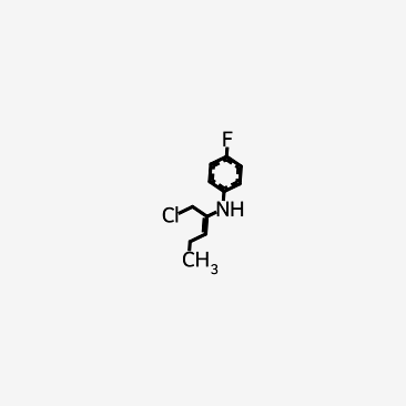 CC/C=C(\CCl)Nc1ccc(F)cc1